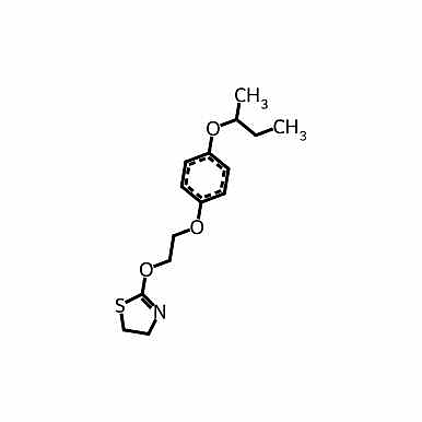 CCC(C)Oc1ccc(OCCOC2=NCCS2)cc1